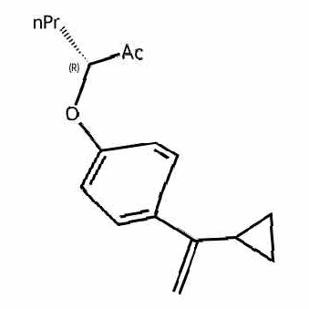 C=C(c1ccc(O[C@H](CCC)C(C)=O)cc1)C1CC1